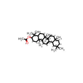 CC(=O)OC1CCC2(C)C(CCC3(C)C2CC=C2C4CC(C)(C)CCC4(C)CCC23C)C1(C)C